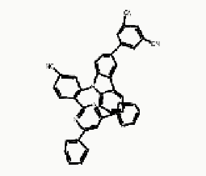 N#Cc1cc(C#N)cc(-c2ccc3c(c2)c2ccccc2n3-c2cc(C#N)ccc2-c2nc(-c3ccccc3)cc(-c3ccccc3)n2)c1